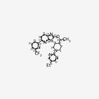 CCc1cnc(N2CCC([C@H](C)Oc3nc4ccc(-c5cccc(C(F)(F)F)n5)nc4s3)CC2)nc1